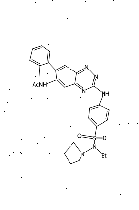 CCN(N1CCCC1)S(=O)(=O)c1ccc(Nc2nnc3cc(-c4ccccc4C)c(NC(C)=O)cc3n2)cc1